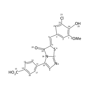 COc1cc(C=c2sc3ncc(-c4ccc(C(=O)O)cc4)n3c2=O)cc(Cl)c1O